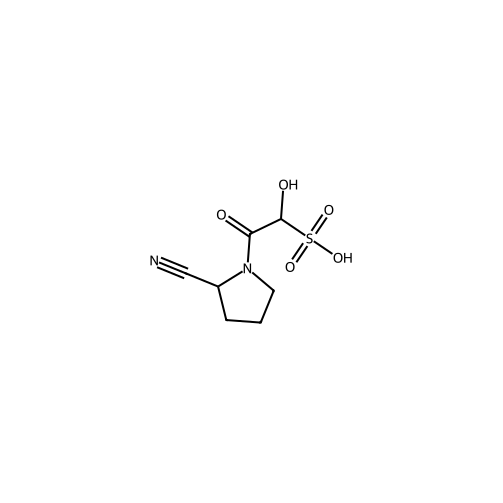 N#CC1CCCN1C(=O)C(O)S(=O)(=O)O